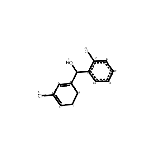 OC(C1=CC(Cl)=CC[CH]1)c1ccccc1Cl